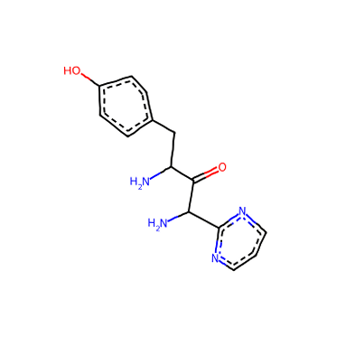 NC(Cc1ccc(O)cc1)C(=O)C(N)c1ncccn1